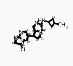 CC1CC(Nc2ncc3c(-c4cnc5ncc(Cl)n5c4)ccn3n2)C1